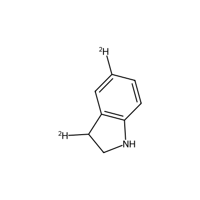 [2H]c1ccc2c(c1)C([2H])CN2